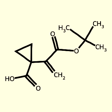 C=C(C(=O)OC(C)(C)C)C1(C(=O)O)CC1